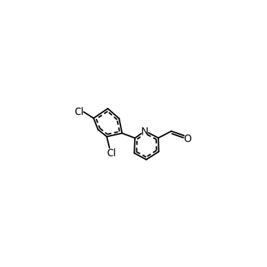 O=Cc1cccc(-c2ccc(Cl)cc2Cl)n1